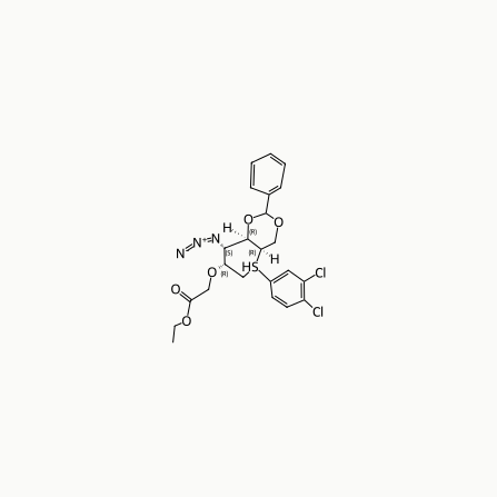 CCOC(=O)CO[C@H]1C[SH](c2ccc(Cl)c(Cl)c2)[C@@H]2COC(c3ccccc3)O[C@@H]2[C@H]1N=[N+]=[N-]